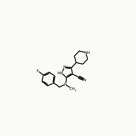 CN(Cc1ccc(F)cc1)c1[nH]nc(C2CCNCC2)c1C#N